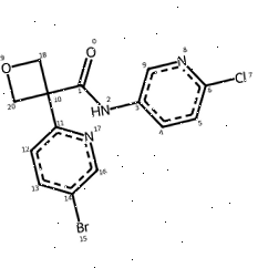 O=C(Nc1ccc(Cl)nc1)C1(c2ccc(Br)cn2)COC1